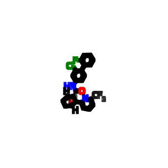 O=C(Nc1ccc(-c2ccccc2F)c(Cl)c1)[C@@H]1C(c2cccc(C(F)(F)F)n2)[C@@H]2CC[C@H]1O2